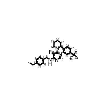 CCc1ccc(CNc2ncnc(N3CCCCC3c3ccc(C(C)(F)F)cc3)c2F)cc1